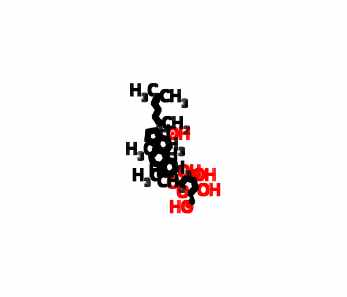 C=C(CCC=C(C)C)[C@H]1CC[C@]2(C)[C@@H]1[C@H](O)C[C@@H]1[C@@]3(C)CC[C@H](O[C@H]4O[C@H](CO)[C@@H](O)[C@H](O)[C@H]4O)C(C)(C)[C@@H]3CC[C@]12C